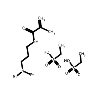 C=C(C)C(=O)NCCCN(CC)CC.CCS(=O)(=O)O.CCS(=O)(=O)O